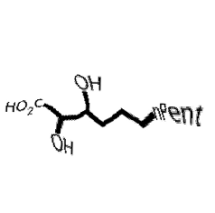 CCCCCCCCC(O)C(O)C(=O)O